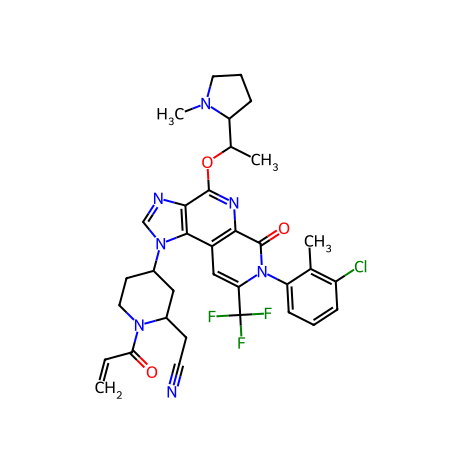 C=CC(=O)N1CCC(n2cnc3c(OC(C)C4CCCN4C)nc4c(=O)n(-c5cccc(Cl)c5C)c(C(F)(F)F)cc4c32)CC1CC#N